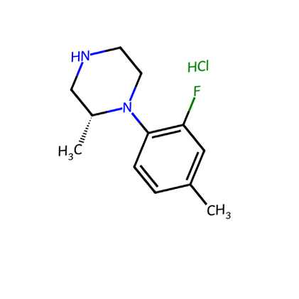 Cc1ccc(N2CCNC[C@H]2C)c(F)c1.Cl